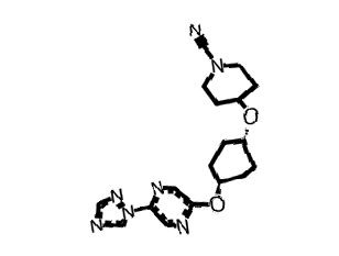 N#CN1CCC(O[C@H]2CC[C@H](Oc3cnc(-n4cncn4)cn3)CC2)CC1